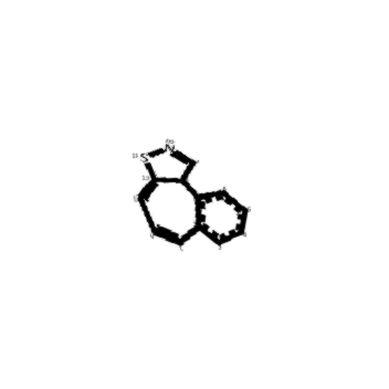 C1=Cc2ccccc2C2C=NSC2=C1